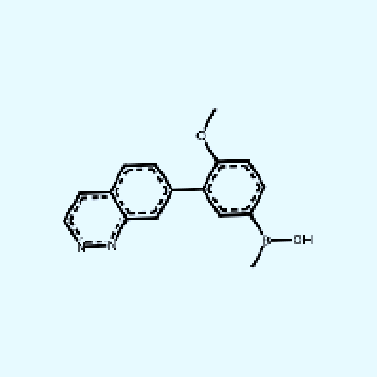 COc1ccc(B(C)O)cc1-c1ccc2ccnnc2c1